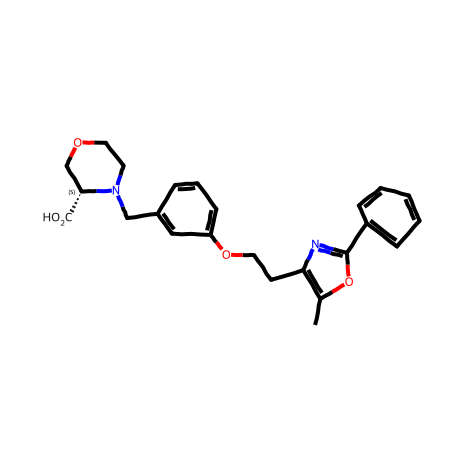 Cc1oc(-c2ccccc2)nc1CCOc1cccc(CN2CCOC[C@H]2C(=O)O)c1